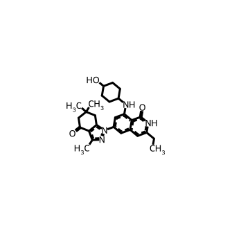 CCc1cc2cc(-n3nc(C)c4c3CC(C)(C)CC4=O)cc(NC3CCC(O)CC3)c2c(=O)[nH]1